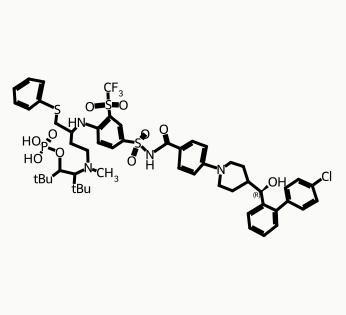 CN(CCC(CSc1ccccc1)Nc1ccc(S(=O)(=O)NC(=O)c2ccc(N3CCC([C@@H](O)c4ccccc4-c4ccc(Cl)cc4)CC3)cc2)cc1S(=O)(=O)C(F)(F)F)C(C(OP(=O)(O)O)C(C)(C)C)C(C)(C)C